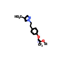 CCO/C(=C\Oc1ccc(CCn2cc(C(=O)O)cn2)cc1)C(F)(F)F